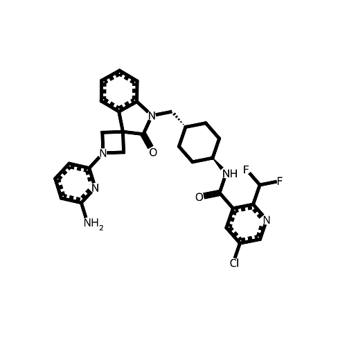 Nc1cccc(N2CC3(C2)C(=O)N(C[C@H]2CC[C@H](NC(=O)c4cc(Cl)cnc4C(F)F)CC2)c2ccccc23)n1